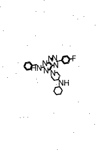 Fc1ccc(-c2nnc3nc(NCc4ccccc4)nc(N4CCC(NC5CCCCC5)CC4)c3n2)cc1